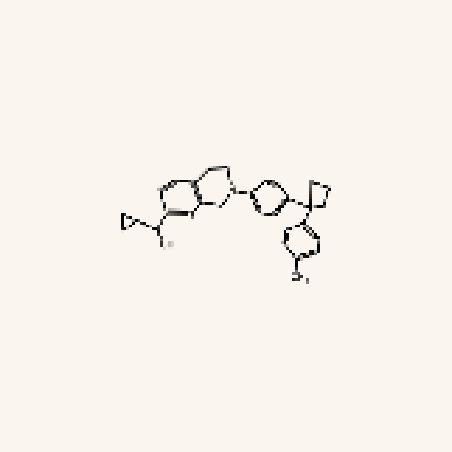 Cc1ccc(C2(c3ccc(N4CCc5cnc(C(O)C6CC6)nc5C4)cc3)CCC2)cc1